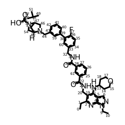 CCc1nc2c(cnn2CC)c(NC2CCOCC2)c1CNC(=O)c1cccc(C(=O)NCc2ccc(F)c(-c3cccc(CN4C[C@@]5(C(C)(C)C)C[C@H]4CN5C(=O)O)c3)c2)c1